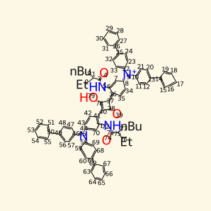 CCCCC(CC)C(=O)NC1=CC(=[N+](c2ccc(-c3ccccc3)cc2)c2ccc(-c3ccccc3)cc2)C=C/C1=C1\C(=O)C(c2ccc(N(c3ccc(-c4ccccc4)cc3)c3ccc(-c4ccccc4)cc3)cc2NC(=O)C(CC)CCCC)=C1O